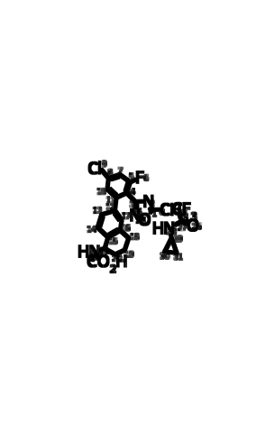 Cc1nc(-c2c(F)cc(Cl)cc2-c2ccc3c(c2)CCCC3NC(=O)O)no1.O=C(NC1CC1)C(F)(F)F